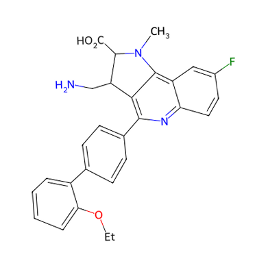 CCOc1ccccc1-c1ccc(-c2nc3ccc(F)cc3c3c2C(CN)C(C(=O)O)N3C)cc1